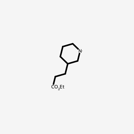 CCOC(=O)CCC1CCC[N]C1